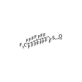 FC(CC(F)(F)C(F)(F)C(F)(F)C(F)(F)C(F)(F)C(F)(F)C(F)(F)C(F)(F)F)SCC1CO1